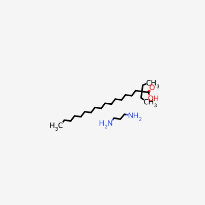 CCCCCCCCCCCCCCCCC(CC)(CC)C(=O)O.NCCCN